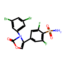 NS(=O)(=O)c1c(F)cc(-c2coc(=O)n2-c2cc(Br)cc(Br)c2)cc1F